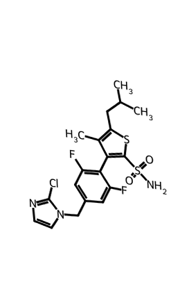 Cc1c(CC(C)C)sc(S(N)(=O)=O)c1-c1c(F)cc(Cn2ccnc2Cl)cc1F